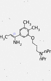 C/C=C(\N)c1cc(C)c(C)c(OCCCN(CCC)CCC)c1